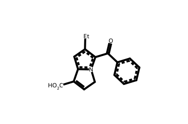 CCc1cc2n(c1C(=O)c1ccccc1)CC=C2C(=O)O